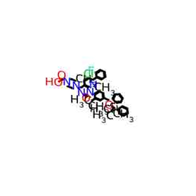 Cc1cc(CO[Si](c2ccccc2)(c2ccccc2)C(C)(C)C)cc(C(C)C)c1-n1c(=O)nc(N2CCN(C(=O)O)CC2C)c2cc(Cl)c(-c3ccccc3F)nc21